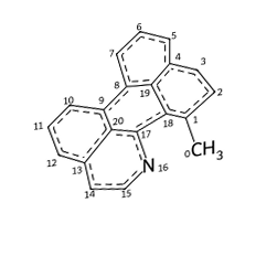 Cc1ccc2cccc3c4cccc5ccnc(c1c23)c54